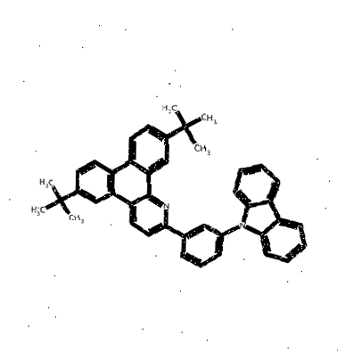 CC(C)(C)c1ccc2c(c1)c1ccc(-c3cccc(-n4c5ccccc5c5ccccc54)c3)nc1c1cc(C(C)(C)C)ccc21